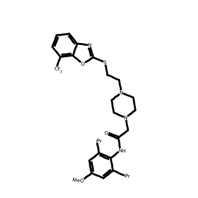 COc1cc(C(C)C)c(NC(=O)CN2CCN(CCSc3nc4cccc(C(F)(F)F)c4o3)CC2)c(C(C)C)c1